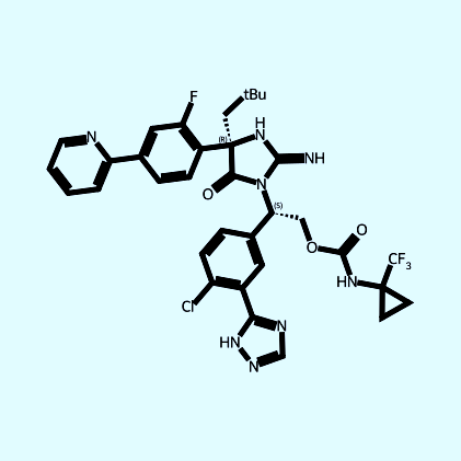 CC(C)(C)C[C@]1(c2ccc(-c3ccccn3)cc2F)NC(=N)N([C@H](COC(=O)NC2(C(F)(F)F)CC2)c2ccc(Cl)c(-c3ncn[nH]3)c2)C1=O